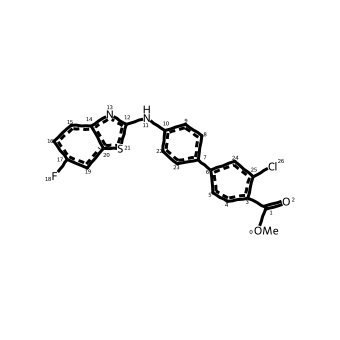 COC(=O)c1ccc(-c2ccc(Nc3nc4ccc(F)cc4s3)cc2)cc1Cl